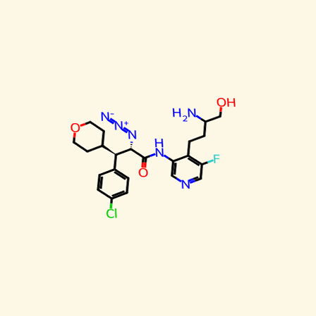 [N-]=[N+]=N[C@H](C(=O)Nc1cncc(F)c1CCC(N)CO)[C@@H](c1ccc(Cl)cc1)C1CCOCC1